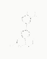 CN(C)c1cc(-c2ccc3c(c2)OCC(C)(C)C3NC(=O)O)ccc1F